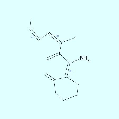 C=C(/C(C)=C\C=C/C)/C(N)=C1/CCCCC1=C